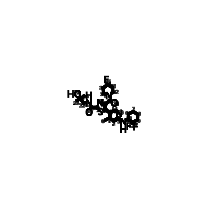 Cc1cc(NC2CCCCC2(F)F)ncc1-c1sc(C(=O)NCC(C)(C)O)nc1C(=O)N1CCC(F)CC1